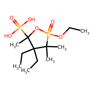 CCOP1(=O)OC(C)(P(=O)(O)O)C(CC)(CC)C1(C)C